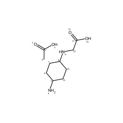 CC(=O)O.NC1CCC(NCC(=O)O)CC1